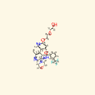 CC1=C(c2ccc(OCCOCCO)nc2)CC(NC(=O)c2cccc(C(F)(F)F)c2)(N2CCOCC2)C=N1